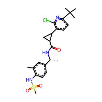 Cc1cc([C@@H](C)NC(=O)C2CC2c2ccc(C(C)(C)C)nc2Cl)ccc1NS(C)(=O)=O